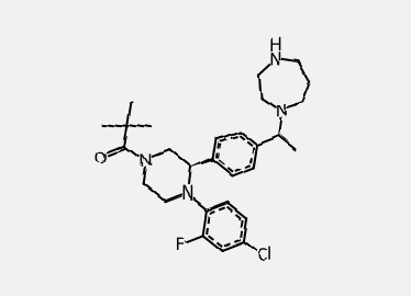 CC(c1ccc([C@@H]2CN(C(=O)C(C)(C)C)CCN2c2ccc(Cl)cc2F)cc1)N1CCCNCC1